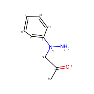 CC(=O)CN(N)c1ccccc1